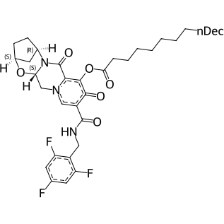 CCCCCCCCCCCCCCCCCC(=O)Oc1c2n(cc(C(=O)NCc3c(F)cc(F)cc3F)c1=O)C[C@@H]1O[C@H]3CC[C@H](C3)N1C2=O